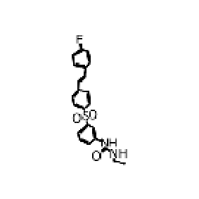 CCNC(=O)Nc1cccc(S(=O)(=O)c2ccc(C=Cc3ccc(F)cc3)cc2)c1